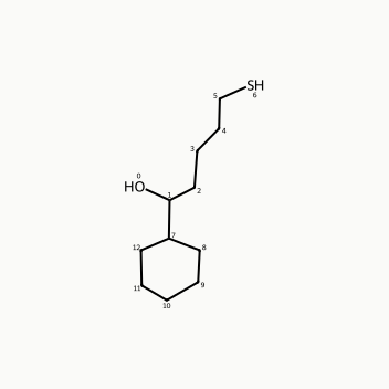 OC(CCCCS)C1CCCCC1